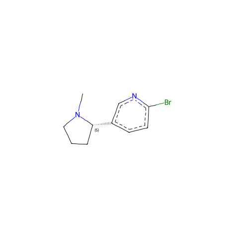 CN1CCC[C@H]1c1ccc(Br)nc1